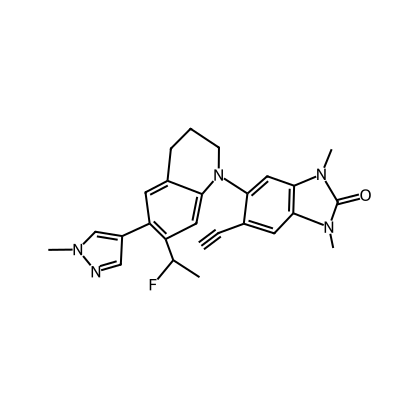 C#Cc1cc2c(cc1N1CCCc3cc(-c4cnn(C)c4)c(C(C)F)cc31)n(C)c(=O)n2C